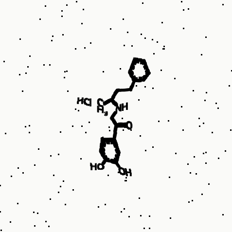 CC(CCc1ccccc1)NCC(=O)c1ccc(O)c(O)c1.Cl